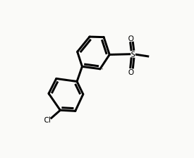 CS(=O)(=O)c1[c]c(-c2ccc(Cl)cc2)ccc1